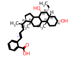 CC[C@H]1[C@@H](O)C2C3CC[C@H]([C@H](C)C/C=C/c4ccccc4C(=O)O)[C@@]3(C)CCC2[C@@]2(C)CC[C@@H](O)C[C@@H]12